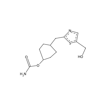 NC(=O)OC1CCC(Cc2ncc(CO)s2)CC1